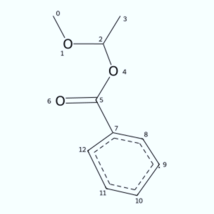 COC(C)OC(=O)c1c[c]ccc1